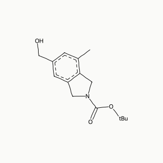 Cc1cc(CO)cc2c1CN(C(=O)OC(C)(C)C)C2